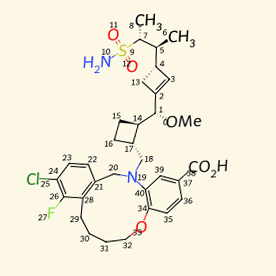 CO[C@@H](C1=C[C@@H]([C@H](C)[C@@H](C)S(N)(=O)=O)C1)[C@@H]1CC[C@H]1CN1Cc2ccc(Cl)c(F)c2CCCCOc2ccc(C(=O)O)cc21